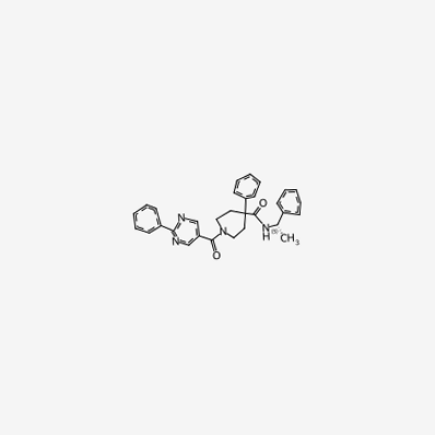 C[C@H](NC(=O)C1(c2ccccc2)CCN(C(=O)c2cnc(-c3ccccc3)nc2)CC1)c1ccccc1